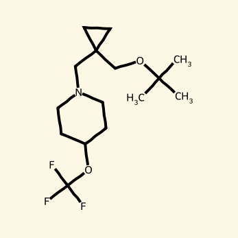 CC(C)(C)OCC1(CN2CCC(OC(F)(F)F)CC2)CC1